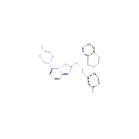 COc1cccc(CN(CC2CN3C(N4CCN(C)CC4)=CC=CC3=N2)[C@H]2CCCc3cccnc32)c1